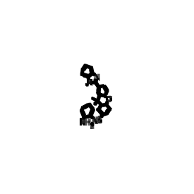 CN(Sc1ccc2c(c1)C(C)(C)c1cc(-c3nc4ccccc4n3C)ccc1O2)c1ccccc1N